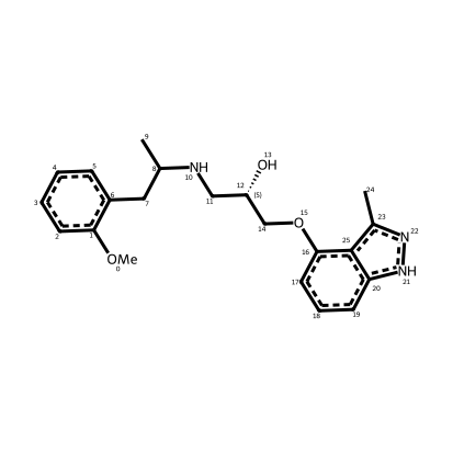 COc1ccccc1CC(C)NC[C@H](O)COc1cccc2[nH]nc(C)c12